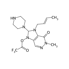 CC=CCN1c2c(cnn(C)c2=O)N(OC(=O)C(F)(F)F)C1N1CCNCC1